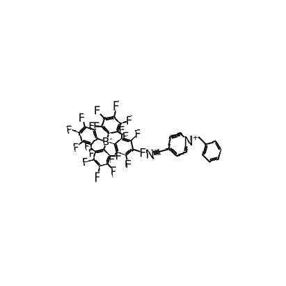 Fc1c(F)c(F)c([B-](c2c(F)c(F)c(F)c(F)c2F)(c2c(F)c(F)c(F)c(F)c2F)c2c(F)c(F)c(F)c(F)c2F)c(F)c1F.N#Cc1cc[n+](Cc2ccccc2)cc1